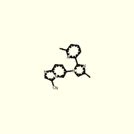 Cc1cccc(-c2nc(C)cn2-c2ccc3ncc(C#N)n3c2)n1